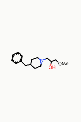 COCC(O)CN1CCC(Cc2ccccc2)CC1